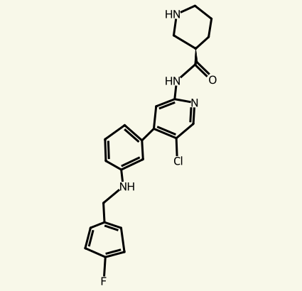 O=C(Nc1cc(-c2cccc(NCc3ccc(F)cc3)c2)c(Cl)cn1)[C@@H]1CCCNC1